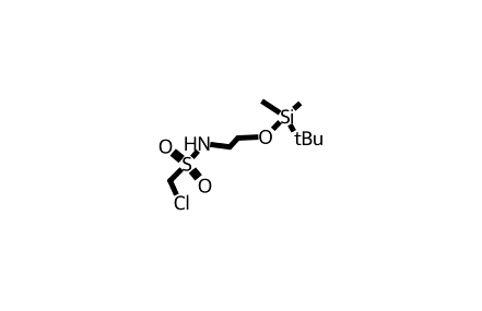 CC(C)(C)[Si](C)(C)OCCNS(=O)(=O)CCl